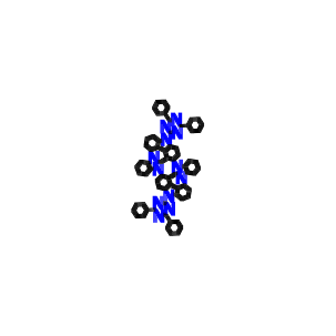 c1ccc(-c2nc(-c3ccccc3)nc(-n3c4ccccc4c4c5c(ccc43)n3c4ccccc4nc3c3c4c6ccccc6n(-c6nc(-c7ccccc7)nc(-c7ccccc7)n6)c4ccc3n3c4ccccc4nc53)n2)cc1